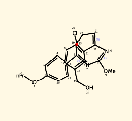 CCCOc1ccc(/C2=N/C(OC)=N\C(c3cc(CO)ccc3Cl)=C\CC2)cc1